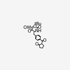 COC(=O)C(Cc1ccc(C(=O)C2CCCC2=O)cc1)NC(=O)OC(C)(C)C